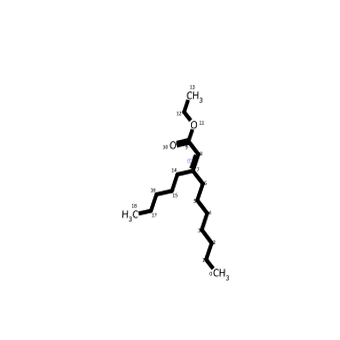 CCCCCCC/C(=C/C(=O)OCC)CCCCC